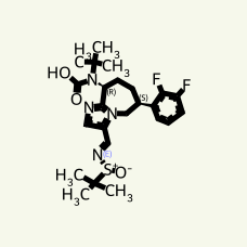 CC(C)(C)N(C(=O)O)[C@@H]1CC[C@@H](c2cccc(F)c2F)Cn2c(/C=N/[S+]([O-])C(C)(C)C)cnc21